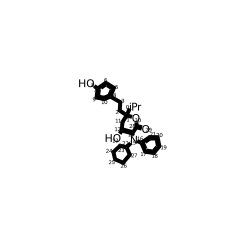 CC(C)C1(CCc2ccc(O)cc2)CC(O)=C(N(c2ccccc2)C2CCCCC2)C(=O)O1